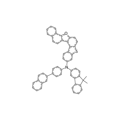 CC1(C)c2ccccc2-c2cc(N(c3ccc(-c4ccc5ccccc5c4)cc3)c3ccc4c(c3)sc3ccc5oc6c7ccccc7ccc6c5c34)ccc21